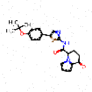 CC(C)(C)Oc1ccc(-c2cnc(NC(=O)C3CCC(=O)c4cccn43)s2)cc1